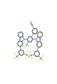 N#Cc1cccc(-c2cc(-n3c4ccccc4c4ccc(-c5cc(C(F)(F)F)cc(C(F)(F)F)c5)cc43)c(C(F)(F)F)cc2-n2c3ccccc3c3ccc(-c4cc(C(F)(F)F)cc(C(F)(F)F)c4)cc32)c1